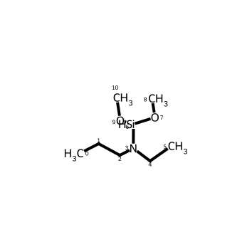 CCCN(CC)[SiH](OC)OC